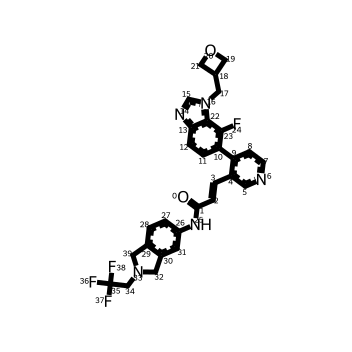 O=C(C=Cc1cnccc1-c1ccc2ncn(CC3COC3)c2c1F)Nc1ccc2c(c1)CN(CC(F)(F)F)C2